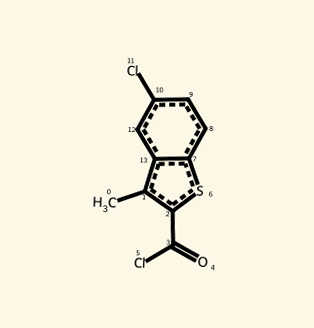 Cc1c(C(=O)Cl)sc2ccc(Cl)cc12